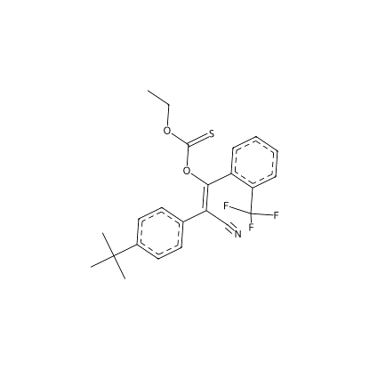 CCOC(=S)OC(=C(C#N)c1ccc(C(C)(C)C)cc1)c1ccccc1C(F)(F)F